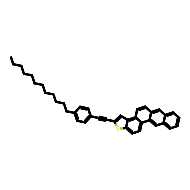 CCCCCCCCCCCCc1ccc(C#Cc2cc3c(ccc4c5cc6ccccc6cc5ccc34)s2)cc1